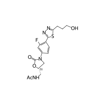 CC(=O)NC[C@H]1CN(c2ccc(-c3nnc(CCCO)s3)c(F)c2)C(=O)O1